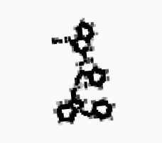 COc1cc(NC[C@@H](CNCc2cn(Cc3ccccc3)c3ccccc23)c2ccccc2)nc2ccccc12